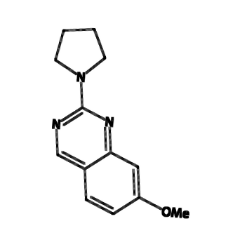 COc1ccc2cnc(N3CCCC3)nc2c1